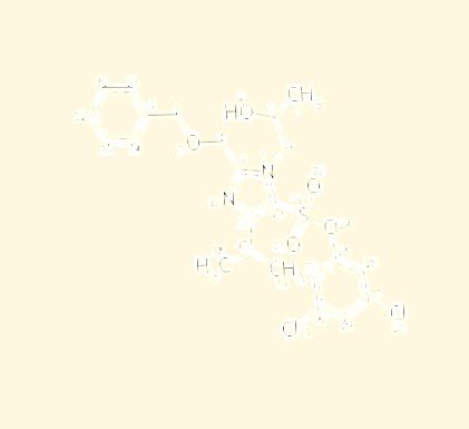 CC(O)Cn1c(COCc2ccccc2)nc(C(C)C)c1S(=O)(=O)Oc1cc(Cl)cc(Cl)c1